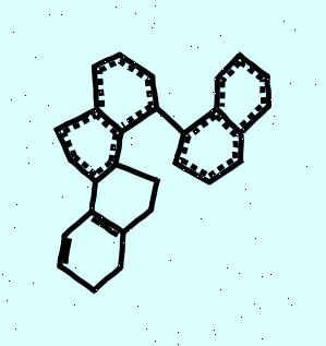 C1=CC2=C(CC1)CCc1c2ccc2cccc(-c3cccc4ccccc34)c12